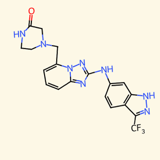 O=C1CN(Cc2cccc3nc(Nc4ccc5c(C(F)(F)F)n[nH]c5c4)nn23)CCN1